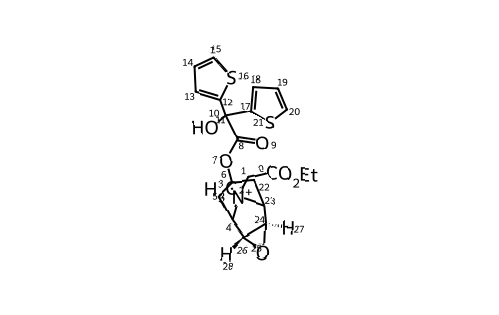 CCOC(=O)C[N+]1(C)C2CC(OC(=O)C(O)(c3cccs3)c3cccs3)CC1[C@H]1O[C@H]21